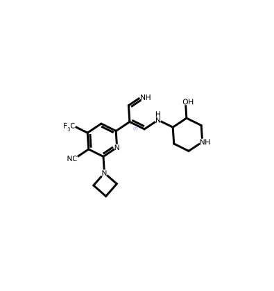 N#Cc1c(C(F)(F)F)cc(/C(C=N)=C/NC2CCNCC2O)nc1N1CCC1